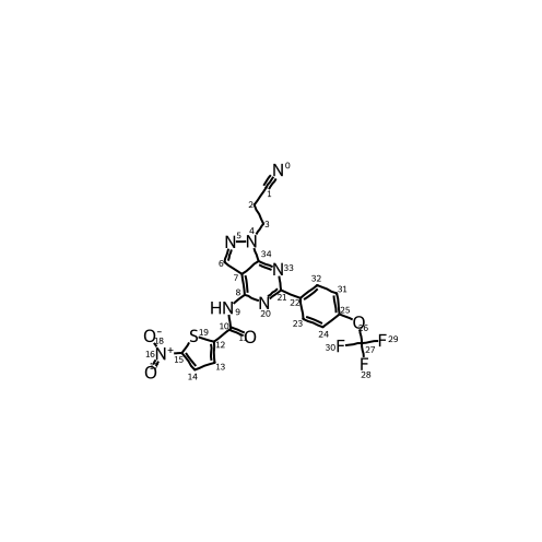 N#CCCn1ncc2c(NC(=O)c3ccc([N+](=O)[O-])s3)nc(-c3ccc(OC(F)(F)F)cc3)nc21